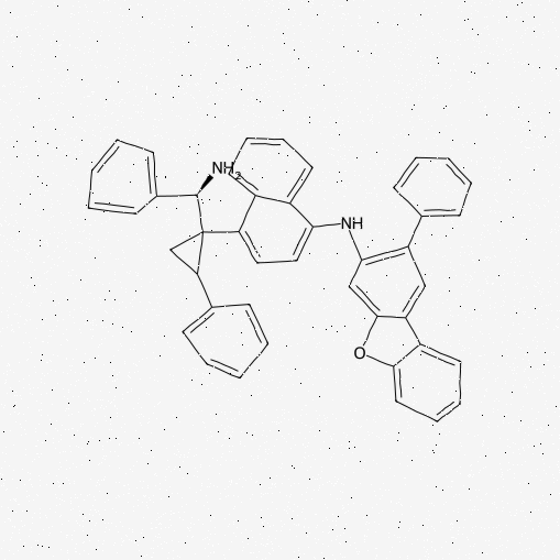 N[C@H](c1ccccc1)C1(c2ccc(Nc3cc4oc5ccccc5c4cc3-c3ccccc3)c3ccccc23)CC1c1ccccc1